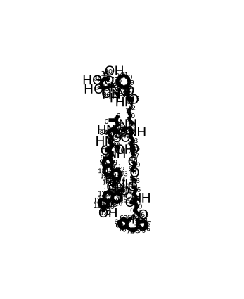 CC(C)[C@H](NC(=O)[C@@H](CCCCCNC(=O)COC1CCCCC/C(N[C@@H]2O[C@H](CO)[C@H](O)[C@H](O)[C@H]2O)=C\1N=N)NC(=O)CCOCCOCCOCCOCCNC(=O)CCC(=O)N1Cc2ccccc2C#Cc2ccccc21)C(=O)N[C@@H](C)C(=O)N[C@@H](CO)C(=O)Nc1ccc2c(c1)[C@@]1(C)CCC[C@](C)(C(=O)NC(=O)[C@@]3(C)CCC[C@]4(C)c5cc(O)ccc5CC[C@@H]34)[C@@H]1CC2